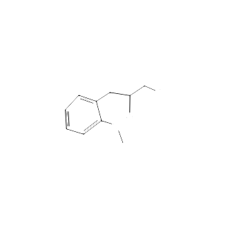 COc1ccccc1CC(O)CCl